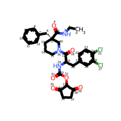 CCNC(=O)[C@]1(Cc2ccccc2)CCCN(C(=O)C(Cc2ccc(Cl)c(Cl)c2)NC(=O)OC2C(=O)CCC2=O)C1